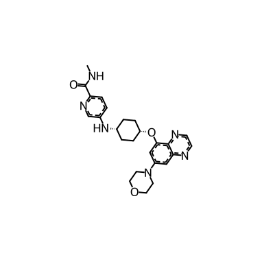 CNC(=O)c1ccc(N[C@H]2CC[C@@H](Oc3cc(N4CCOCC4)cc4nccnc34)CC2)cn1